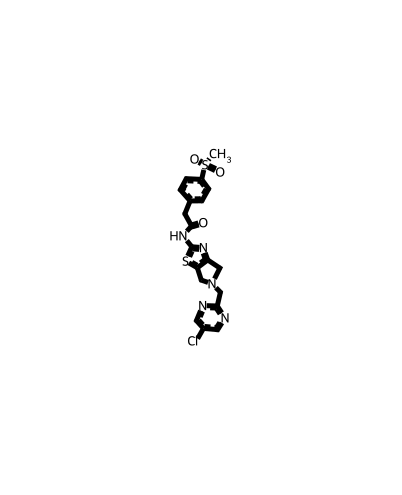 CS(=O)(=O)c1ccc(CC(=O)Nc2nc3c(s2)CN(Cc2ncc(Cl)cn2)C3)cc1